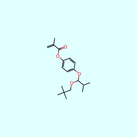 C=C(C)C(=O)Oc1ccc(OC(OCC(C)(C)C)C(C)C)cc1